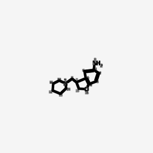 Nc1ccc2c(c1)C(CN1CCCCC1)CO2